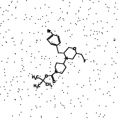 CC(C)(C)OC(=O)N1CCC(N2CC(CF)OCC2Cc2ccc(Br)cc2)CC1